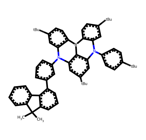 CC(C)(C)c1ccc(N2c3cc(C(C)(C)C)ccc3B3c4ccc(C(C)(C)C)cc4N(c4cccc(-c5cccc6c5-c5ccccc5C6(C)C)c4)c4cc(C(C)(C)C)cc2c43)cc1